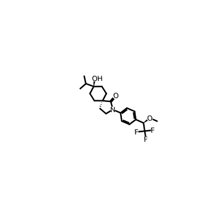 CO[C@H](c1ccc(N2CC[C@]3(CC[C@@](O)(C(C)C)CC3)C2=O)cc1)C(F)(F)F